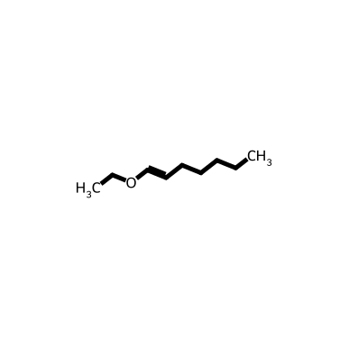 CCCCC/C=C/OCC